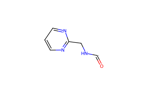 O=[C]NCc1ncccn1